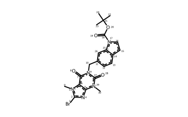 Cn1c(Br)nc2c1c(=O)n(Cc1ccc3ccn(C(=O)OC(C)(C)C)c3c1)c(=O)n2C